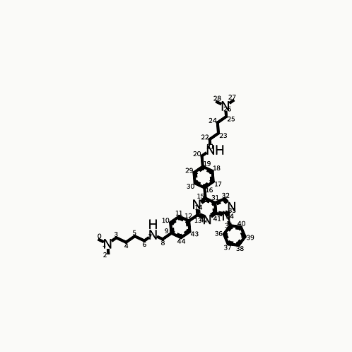 CN(C)CCCCNCc1ccc(-c2nc(-c3ccc(CNCCCCN(C)C)cc3)c3cnn(-c4ccccc4)c3n2)cc1